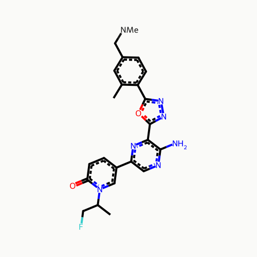 CNCc1ccc(-c2nnc(-c3nc(-c4ccc(=O)n(C(C)CF)c4)cnc3N)o2)c(C)c1